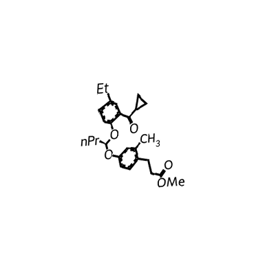 CCC[C@H](Oc1ccc(CCC(=O)OC)c(C)c1)Oc1ccc(CC)cc1C(=O)C1CC1